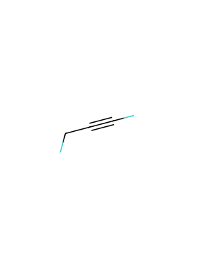 FC#C[CH]F